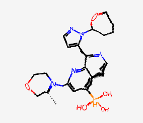 C[C@@H]1COCCN1c1cc([PH](O)(O)O)c2ccnc(-c3ccnn3C3CCCCO3)c2n1